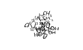 CC(C)CN(Cc1cc(Cl)cc(Cl)c1)[C@H]1CCNC1.O=C(O)C(O)C(O)C(=O)O